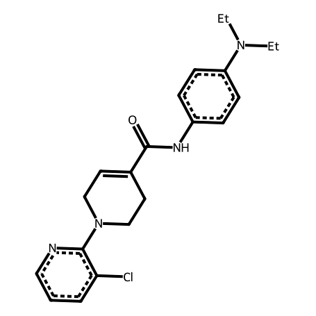 CCN(CC)c1ccc(NC(=O)C2=CCN(c3ncccc3Cl)CC2)cc1